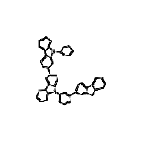 c1ccc(-n2c3ccccc3c3ccc(-c4ccc5c(c4)c4ccccc4n5-c4cccc(-c5ccc6c(c5)Cc5ccccc5-6)c4)cc32)cc1